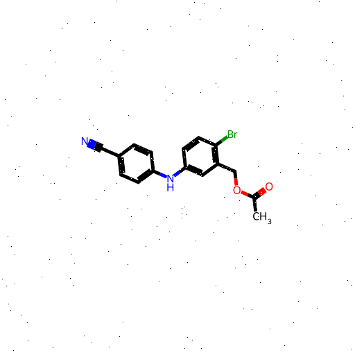 CC(=O)OCc1cc(Nc2ccc(C#N)cc2)ccc1Br